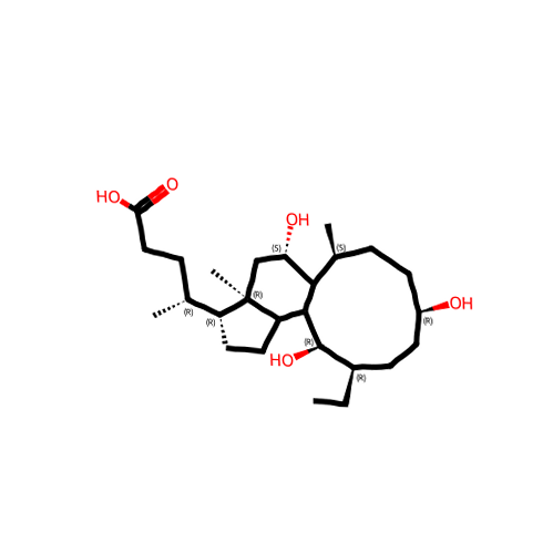 CC[C@@H]1CC[C@H](O)CC[C@H](C)C2C(C3CC[C@H]([C@H](C)CCC(=O)O)[C@@]3(C)C[C@@H]2O)[C@@H]1O